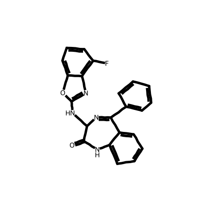 O=C1Nc2ccccc2C(c2ccccc2)=NC1Nc1nc2c(F)cccc2o1